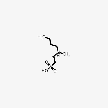 CCCC[SiH](C)[CH]CS(=O)(=O)O